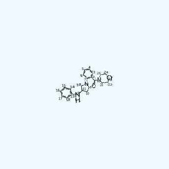 O=C(c1[c]cccc1N1CC[C@@H](Nc2ccccc2)C1)N1CCOCC1